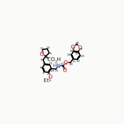 CCOc1ccc(CC2(C(=O)O)CCCO2)cc1CNC(=O)OCc1ccc2c(c1)OCO2